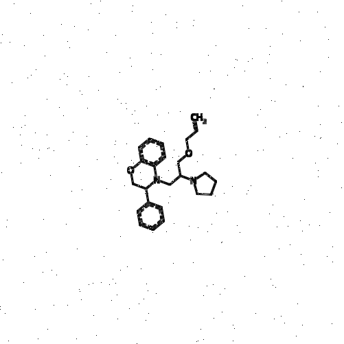 C=CCOCC(CN1c2ccccc2OCC1c1ccccc1)N1CCCC1